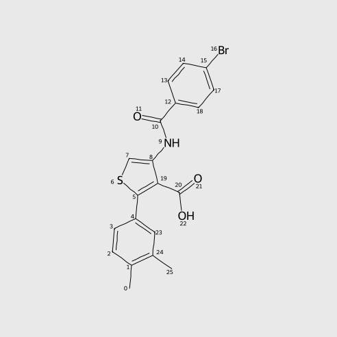 Cc1ccc(-c2scc(NC(=O)c3ccc(Br)cc3)c2C(=O)O)cc1C